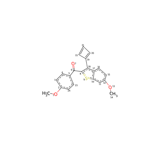 COc1ccc(C(=O)c2sc3cc(OC)ccc3c2C2=CC=C2)cc1